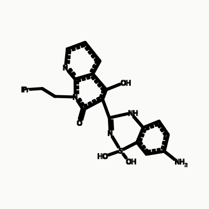 CC(C)CCn1c(=O)c(C2=NS(O)(O)c3cc(N)ccc3N2)c(O)c2cccnc21